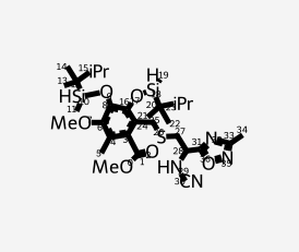 COC(=O)c1c(C)c(OC)c(O[SiH](C)C(C)(C)C(C)C)c(O[SiH](C)C(C)(C)C(C)C)c1CSCC(NC#N)c1nc(C)no1